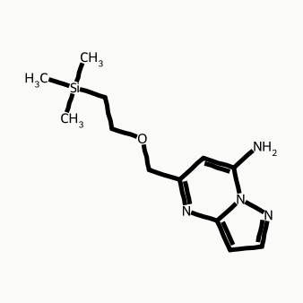 C[Si](C)(C)CCOCc1cc(N)n2nccc2n1